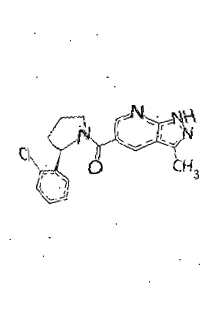 Cc1n[nH]c2ncc(C(=O)N3CCC[C@@H]3c3ccccc3Cl)cc12